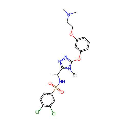 CCn1c(Oc2cccc(OCCN(C)C)c2)nnc1[C@@H](C)NS(=O)(=O)c1ccc(Cl)c(Cl)c1